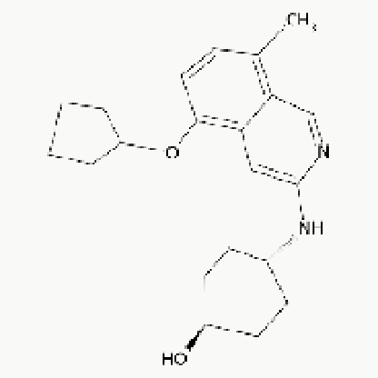 Cc1ccc(OC2CCCC2)c2cc(N[C@H]3CC[C@H](O)CC3)ncc12